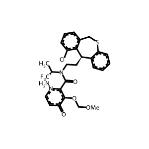 COCOc1c(C(=O)N(CC[C@@H]2c3ccccc3SCc3cccc(Cl)c32)[C@H](C)C(F)(F)F)n(N)ccc1=O